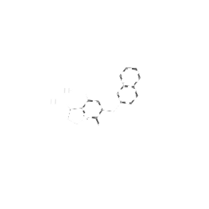 CC1CCn2c1c(C(=O)O)cc(Cc1ccc3ccccc3c1)c2=O